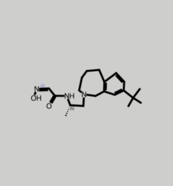 C[C@@H](CN1CCCCc2ccc(C(C)(C)C)cc2C1)NC(=O)/C=N\O